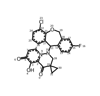 O=C1c2c(O)c(=O)ccn2N(C2c3ccc(F)cc3COc3c(Cl)cccc32)CC12CC2